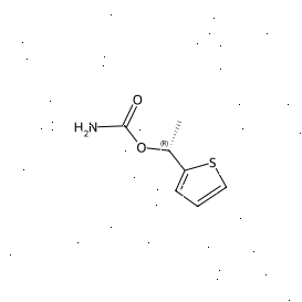 C[C@@H](OC(N)=O)c1cccs1